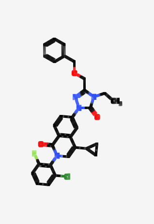 CCn1c(COCc2ccccc2)nn(-c2ccc3c(=O)n(-c4c(F)cccc4Cl)cc(C4CC4)c3c2)c1=O